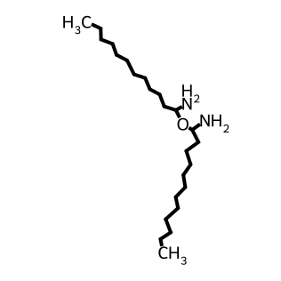 CCCCCCCCCCCC(N)OC(N)CCCCCCCCCCC